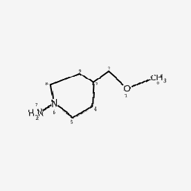 COCC1CCN(N)CC1